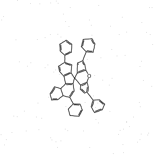 C1=CCCC(C2=CC3=C(c4ccc(-c5ccccc5)cc4C34c3ccc(-c5ccccc5)cc3Oc3cc(-c5ccccc5)ccc34)C3C=CC=CC23)=C1